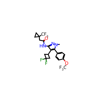 Cn1nc(NC(=O)CC2(C(F)(F)F)CC2)c(C2CC(F)(F)C2)c1-c1ccc(OC(F)(F)F)cc1